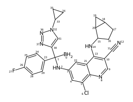 BC(Nc1cc(Cl)c2ncc(C#N)c(NC3CCC4CC43)c2c1)(c1ccc(F)cc1)c1cn(C2CC2)nn1